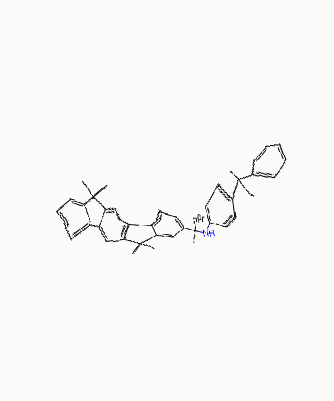 CCCC(C)(Nc1ccc(C(C)(C)c2ccccc2)cc1)c1ccc2c(c1)C(C)(C)c1cc3c(cc1-2)C(C)(C)c1ccccc1-3